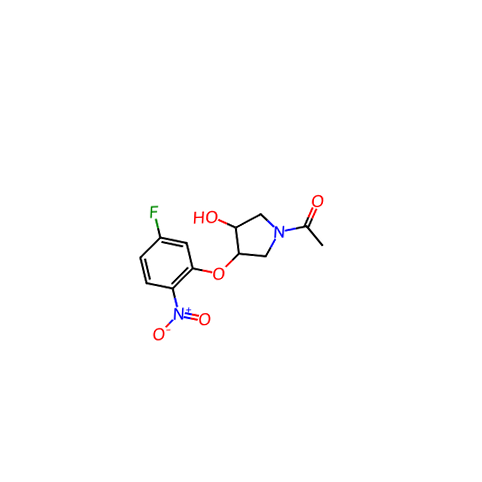 CC(=O)N1CC(O)C(Oc2cc(F)ccc2[N+](=O)[O-])C1